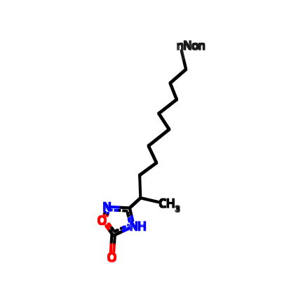 CCCCCCCCCCCCCCCCCC(C)c1noc(=O)[nH]1